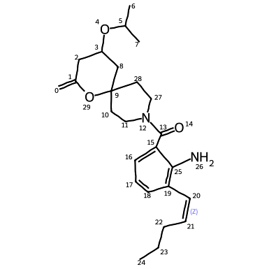 C=C1CC(OC(C)C)CC2(CCN(C(=O)c3cccc(/C=C\CCC)c3N)CC2)O1